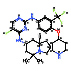 CC1(C)C[C@H](Nc2nc(Nc3ccc(OC4CCNCC4)c(C(F)(F)F)c3)ncc2F)C[C@@H]2CCCN21